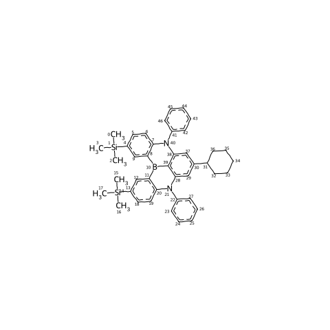 C[Si](C)(C)c1ccc2c(c1)B1c3cc([Si](C)(C)C)ccc3N(c3ccccc3)c3cc(C4CCCCC4)cc(c31)N2c1ccccc1